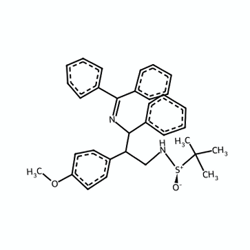 COc1ccc(C(CN[S@+]([O-])C(C)(C)C)C(N=C(c2ccccc2)c2ccccc2)c2ccccc2)cc1